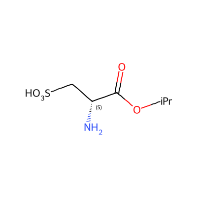 CC(C)OC(=O)[C@H](N)CS(=O)(=O)O